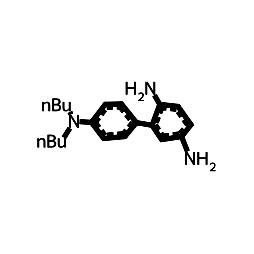 CCCCN(CCCC)c1ccc(-c2cc(N)ccc2N)cc1